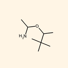 CC(N)OC(C)C(C)(C)C